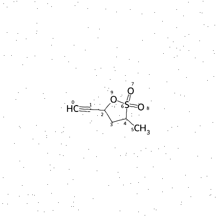 C#CC1CC(C)S(=O)(=O)O1